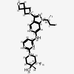 CC[C@@H](C)n1nc(N2CC3(COC3)C2)c2cnc(Nc3ccnc(N4CC[C@@](C)(O)[C@@H](F)C4)n3)cc21